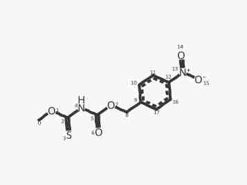 COC(=S)NC(=O)OCc1ccc([N+](=O)[O-])cc1